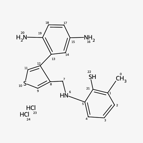 Cc1cccc(NCc2cscc2-c2cc(N)ccc2N)c1S.Cl.Cl